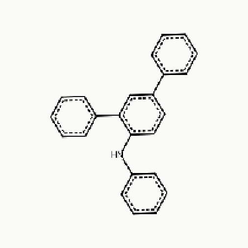 c1ccc(Nc2ccc(-c3ccccc3)cc2-c2ccccc2)cc1